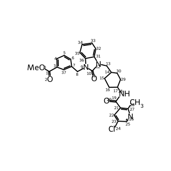 COC(=O)c1cccc(Cn2c(=O)n(CC3CCC(NC(=O)c4cc(Cl)cnc4C)CC3)c3ccccc32)c1